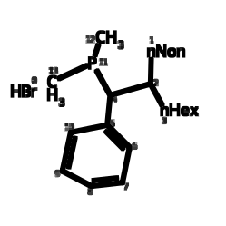 Br.CCCCCCCCCC(CCCCCC)C(c1ccccc1)P(C)C